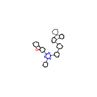 c1ccc(-c2nc(-c3cccc(-c4cccc(-c5cccc6c5-c5ccccc5C65CCCCC5)c4)c3)nc(-c3ccc4c(c3)oc3ccccc34)n2)cc1